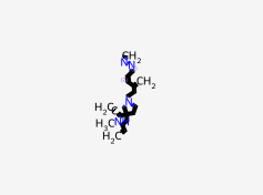 C=C=C(NC)C1(CCC=C)CCN(CCC(=C)/C=C\C=N/N=C)C1